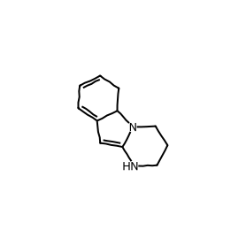 C1=CCC2C(=C1)C=C1NCCCN12